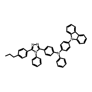 CCCc1ccc(-c2nnc(-c3ccc(N(c4ccccc4)c4ccc(-n5c6ccccc6c6ccccc65)cc4)cc3)n2-c2ccccc2)cc1